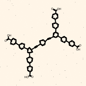 O=C(O)c1ccc(-c2ccc(-c3cc(C#Cc4ccc(C#Cc5cc(-c6ccc(-c7ccc(C(=O)O)cc7)cc6)cc(-c6ccc(-c7ccc(C(=O)O)cc7)cc6)c5)cc4)cc(-c4ccc(-c5ccc(C(=O)O)cc5)cc4)c3)cc2)cc1